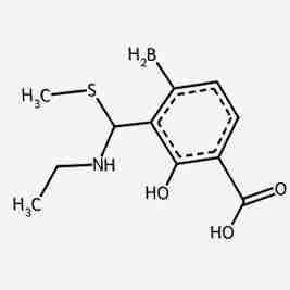 Bc1ccc(C(=O)O)c(O)c1C(NCC)SC